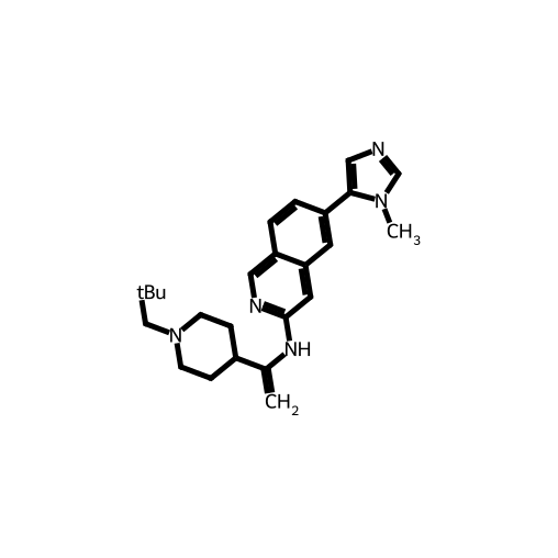 C=C(Nc1cc2cc(-c3cncn3C)ccc2cn1)C1CCN(CC(C)(C)C)CC1